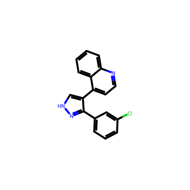 Clc1cccc(-c2n[nH]cc2-c2ccnc3ccccc23)c1